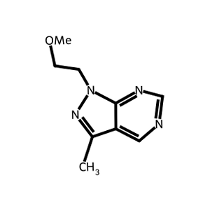 COCCn1nc(C)c2cncnc21